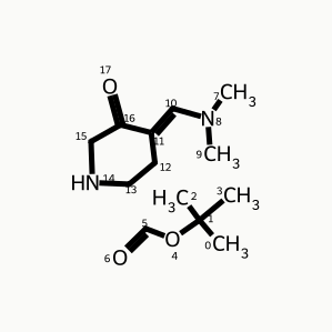 CC(C)(C)OC=O.CN(C)C=C1CCNCC1=O